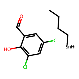 CCC[CH2][SnH].O=Cc1cc(Cl)cc(Cl)c1O